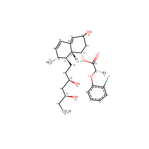 CC[C@H](Oc1ccccc1F)C(=O)O[C@H]1C[C@H](O)C=C2C=C[C@@H](C)[C@H](CC[C@@H](O)C[C@@H](O)CC(=O)O)[C@H]21